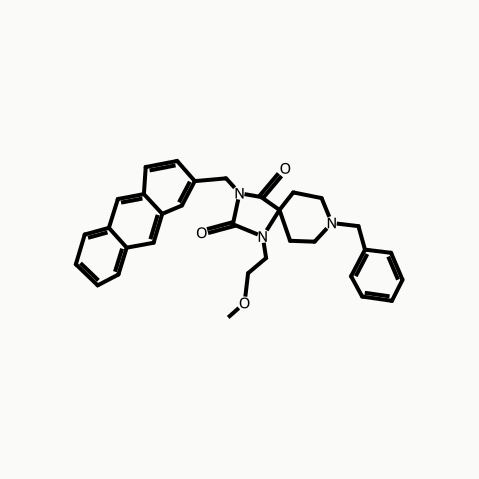 COCCN1C(=O)N(Cc2ccc3cc4ccccc4cc3c2)C(=O)C12CCN(Cc1ccccc1)CC2